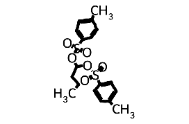 CCCC(OS(=O)(=O)c1ccc(C)cc1)OS(=O)(=O)c1ccc(C)cc1